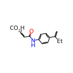 C=C(CC)c1ccc(NC(=O)/C=C\C(=O)O)cc1